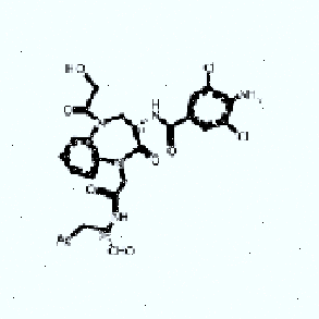 CC(=O)C[C@@H](C=O)NC(=O)CN1C(=O)[C@@H](NC(=O)c2cc(Cl)c(N)c(Cl)c2)CN(C(=O)CO)c2ccccc21